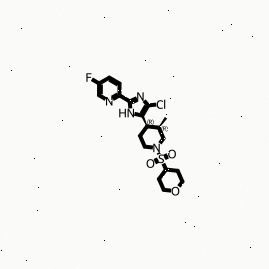 C[C@H]1CN(S(=O)(=O)C2CCOCC2)CC[C@H]1c1[nH]c(-c2ccc(F)cn2)nc1Cl